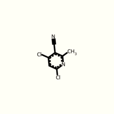 Cc1nc(Cl)cc(Cl)c1C#N